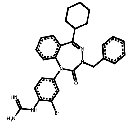 N=C(N)Nc1ccc(N2C(=O)N(Cc3ccccc3)N=C(C3CCCCC3)c3ccccc32)cc1Br